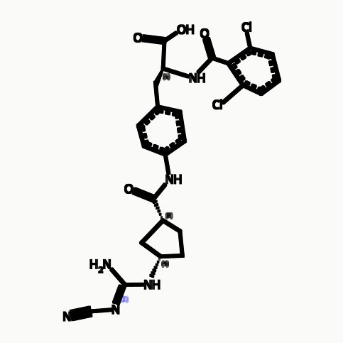 N#C/N=C(\N)N[C@H]1CC[C@@H](C(=O)Nc2ccc(C[C@H](NC(=O)c3c(Cl)cccc3Cl)C(=O)O)cc2)C1